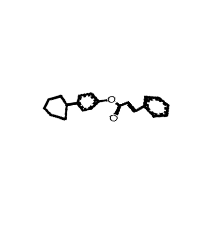 O=C(/C=C/c1ccccc1)Oc1ccc(C2CCCCC2)cc1